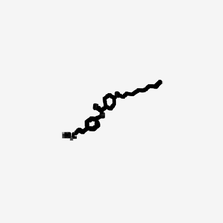 C=CCCCCCCOC1CCC(C(=O)Oc2ccc(C=CC(=O)O)cc2)CC1